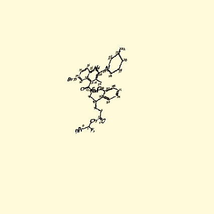 CCCC(F)OC(=O)CCC(CNC(=O)c1c(C)c(N2CCCC(C)C2)nc2ccc(Br)cc12)c1ccccc1C(F)(F)F